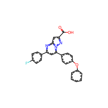 O=C(O)c1cc2nc(-c3ccc(F)cc3)cc(-c3ccc(Oc4ccccc4)cc3)n2n1